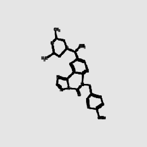 COc1ccc(Cn2c(=O)n3ncnc3c3cc(C(C)N4CC(C)OC(C)C4)cnc32)cc1